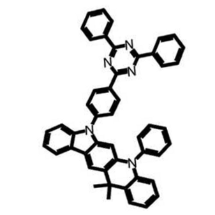 CC1(C)c2ccccc2N(c2ccccc2)c2cc3c(cc21)c1ccccc1n3-c1ccc(-c2nc(-c3ccccc3)nc(-c3ccccc3)n2)cc1